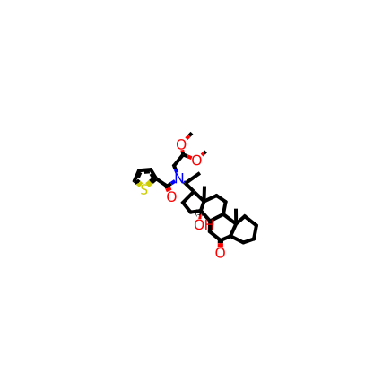 COC(CN(C(=O)c1cccs1)C(C)C1CC[C@@]2(O)C3=CC(=O)C4CCCCC4(C)C3CCC12C)OC